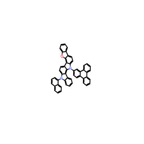 c1ccc2c(-n3c4ccccc4c4c3ccc3c5c6oc7ccccc7c6ccc5n(-c5ccc6c7ccccc7c7ccccc7c6c5)c34)cccc2c1